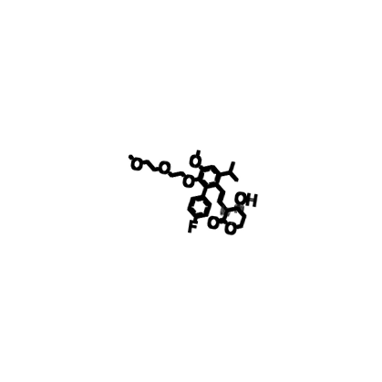 COCCOCCOc1c(OC)cc(C(C)C)c(C=C[C@@H]2C(=O)OCC[C@H]2O)c1-c1ccc(F)cc1